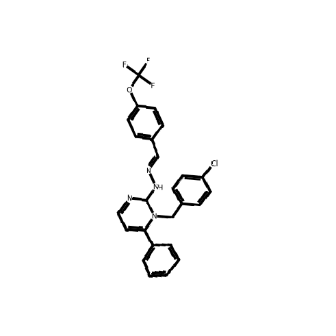 FC(F)(F)Oc1ccc(C=NNC2N=CC=C(c3ccccc3)N2Cc2ccc(Cl)cc2)cc1